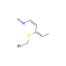 C=N/C=C\C(=C/C)SCC(C)C